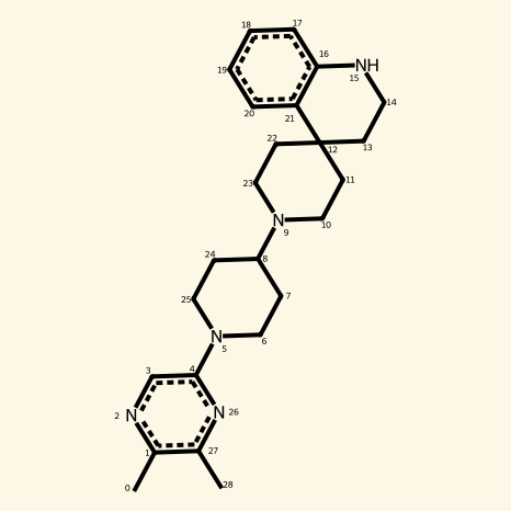 Cc1ncc(N2CCC(N3CCC4(CCNc5ccccc54)CC3)CC2)nc1C